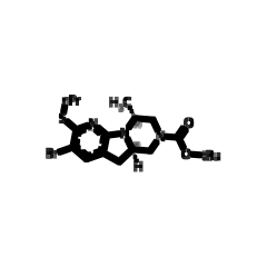 CCCSc1nc2c(cc1Br)C[C@@H]1CN(C(=O)OC(C)(C)C)C[C@@H](C)N21